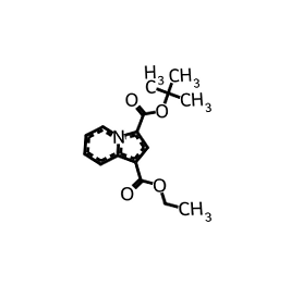 CCOC(=O)c1cc(C(=O)OC(C)(C)C)n2ccccc12